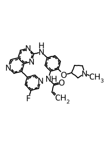 C=CC(=O)Nc1cc(Nc2ncc3cncc(-c4cncc(F)c4)c3n2)ccc1OC1CCN(C)C1